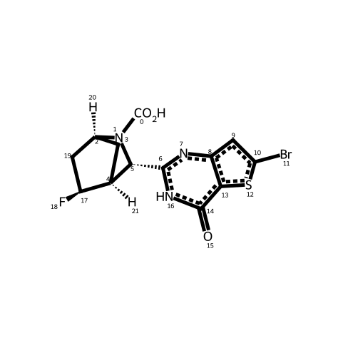 O=C(O)N1[C@H]2C[C@@H]([C@H]1c1nc3cc(Br)sc3c(=O)[nH]1)[C@@H](F)C2